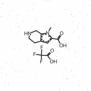 Cn1c(C(=O)O)cc2c1CNCC2.O=C(O)C(F)(F)F